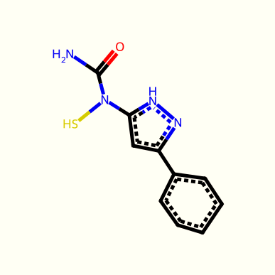 NC(=O)N(S)c1cc(-c2ccccc2)n[nH]1